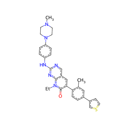 CCn1c(=O)c(-c2ccc(-c3ccsc3)cc2C)cc2cnc(Nc3ccc(N4CCN(C)CC4)cc3)nc21